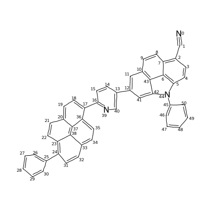 N#Cc1ccc2c3c1ccc1cc(-c4ccc(-c5ccc6ccc7c(-c8ccccc8)ccc8ccc5c6c87)nc4)cc(c13)n2-c1ccccc1